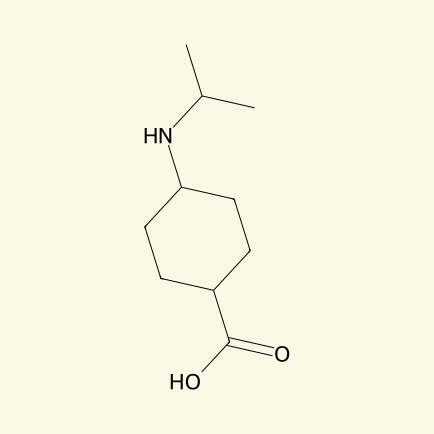 CC(C)NC1CCC(C(=O)O)CC1